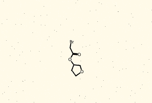 O=C(CBr)OC1CCOC1